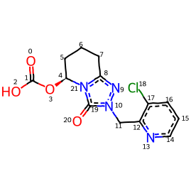 O=C(O)O[C@H]1CCCc2nn(Cc3ncccc3Cl)c(=O)n21